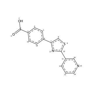 O=C(O)c1ccc(-c2csc(-c3cccnc3)n2)cc1